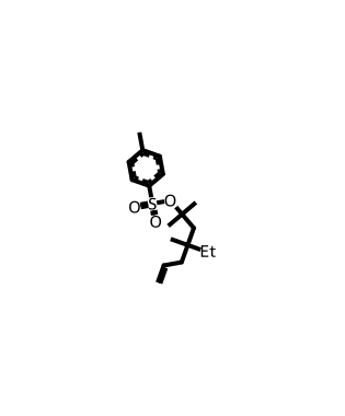 C=CCC(C)(CC)CC(C)(C)OS(=O)(=O)c1ccc(C)cc1